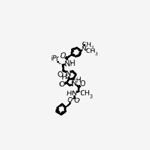 CC(C)C[C@H](NC(=O)c1ccc(N(C)C)cc1)C(=O)N1CC[C@@H]2[C@H]1C(=O)CN2C(=O)[C@H](C)NC(=O)OCc1ccccc1